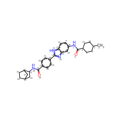 CC1CCC(C(=O)Nc2ccc3[nH]c(-c4ccc(C(=O)NC5CC6CCC5C6)cc4)nc3c2)CC1